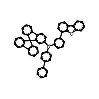 c1ccc(-c2ccc(N(c3cccc(-c4cccc5c4oc4ccccc45)c3)c3ccc4c(c3)C3(c5ccccc5-c5ccccc53)c3ccccc3-4)cc2)cc1